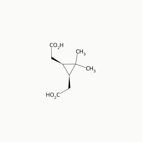 CC1(C)[C@H](CC(=O)O)[C@@H]1CC(=O)O